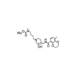 Cc1ccc(C(=O)NC[C@@H]2CCN(CCCCN(C)C(=O)OC(C)(C)C)C[C@H]2O)c2c1OCCCO2